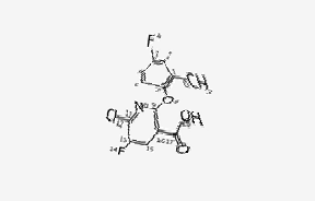 Cc1cc(F)ccc1Oc1nc(Cl)c(F)cc1C(=O)O